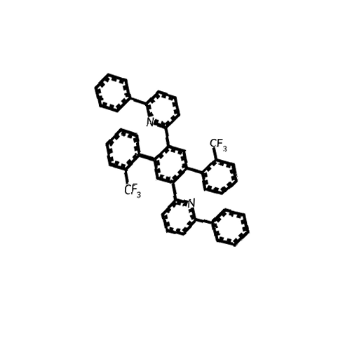 FC(F)(F)c1ccccc1-c1cc(-c2cccc(-c3ccccc3)n2)c(-c2ccccc2C(F)(F)F)cc1-c1cccc(-c2ccccc2)n1